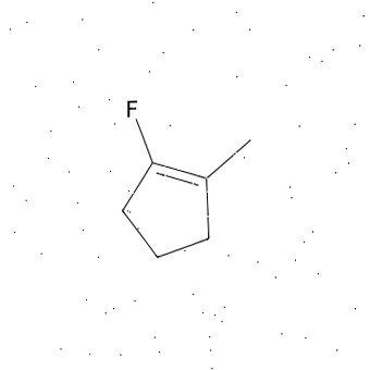 CC1=C(F)CCC1